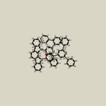 C1=CC(c2ccccc2-c2nc(-c3ccccc3)nc(-n3c4ccccc4c4ccc5c6ccccc6n(-c6ccc(-c7cc(-c8ccccc8)nc(-c8ccccc8)c7)cc6)c5c43)n2)=CCC1